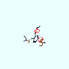 CCOCc1cc(OSC)ccc1CSC(C)C